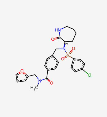 CN(Cc1ccco1)C(=O)c1ccc(CN([C@@H]2CCCCNC2=O)S(=O)(=O)c2ccc(Cl)cc2)cc1